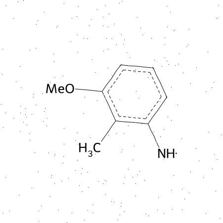 COc1cccc([NH])c1C